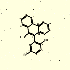 Oc1c(-c2cc(Br)ccc2F)c2ccccc2c2ccccc12